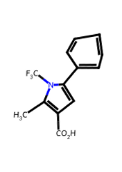 Cc1c(C(=O)O)cc(-c2ccccc2)n1C(F)(F)F